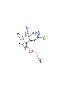 Cc1nn(COCC[Si](C)(C)C)c(-c2cc(Cl)ncc2N)c1[N+](=O)[O-]